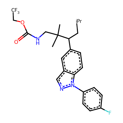 CC(C)CC(c1ccc2c(cnn2-c2ccc(F)cc2)c1)C(C)(C)CNC(=O)OCC(F)(F)F